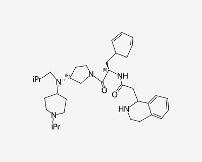 CC(C)CN(C1CCN(C(C)C)CC1)[C@@H]1CCN(C(=O)[C@@H](CC2C=CC=CC2)NC(=O)CC2NCCc3ccccc32)C1